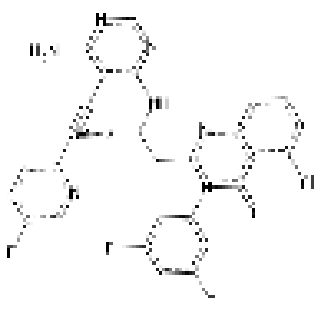 COC(Cc1nc2cccc(Cl)c2c(=O)n1-c1cc(F)cc(F)c1)Nc1ncnc(N)c1C#Cc1ccc(F)cn1